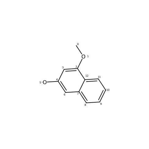 COc1cc([O])cc2ccccc12